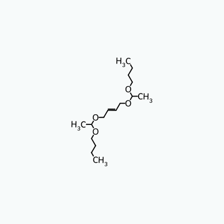 CCCCOC(C)OC/C=C/COC(C)OCCCC